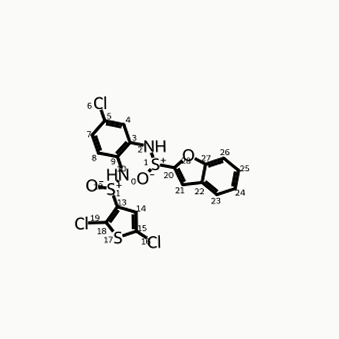 [O-][S+](Nc1cc(Cl)ccc1N[S+]([O-])c1cc(Cl)sc1Cl)c1cc2ccccc2o1